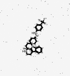 FC(F)(F)c1ccc(N/N=C2\C=C[C@@]3(CC2)CC[C@@H]2NCCc4c2n3c2ccccc42)cc1